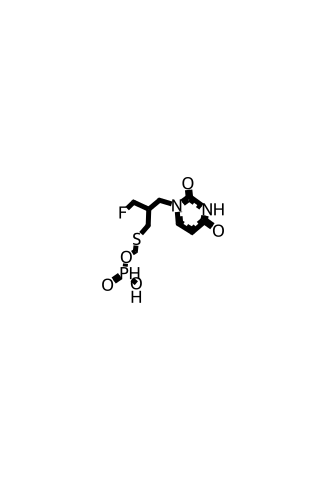 O=c1ccn(CC(CF)CSCO[PH](=O)O)c(=O)[nH]1